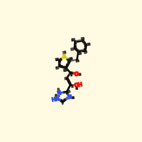 O=C(C=C(O)c1nc[nH]n1)c1ccsc1Cc1ccccc1